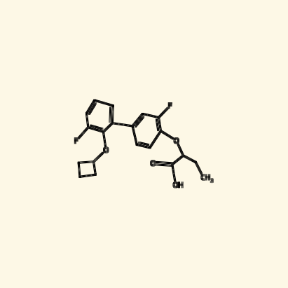 CCC(Oc1ccc(-c2cccc(F)c2OC2CCC2)cc1F)C(=O)O